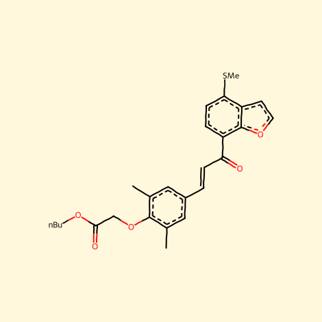 CCCCOC(=O)COc1c(C)cc(/C=C/C(=O)c2ccc(SC)c3ccoc23)cc1C